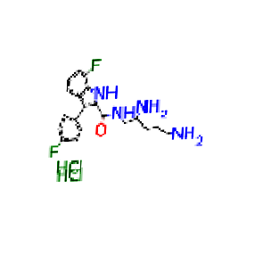 Cl.Cl.NCCCC(N)CNC(=O)c1[nH]c2c(F)cccc2c1-c1ccc(F)cc1